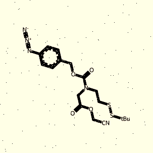 CC(C)(C)SSCCN(CC(=O)OCC#N)C(=O)OCc1ccc(N=[N+]=[N-])cc1